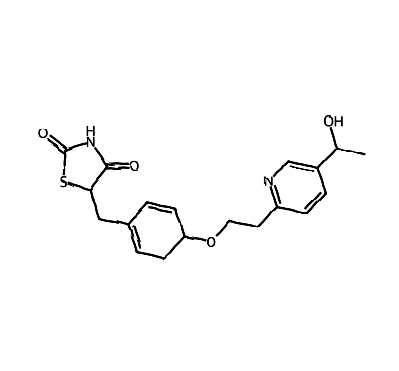 CC(O)c1ccc(CCOC2C=CC(CC3SC(=O)NC3=O)=CC2)nc1